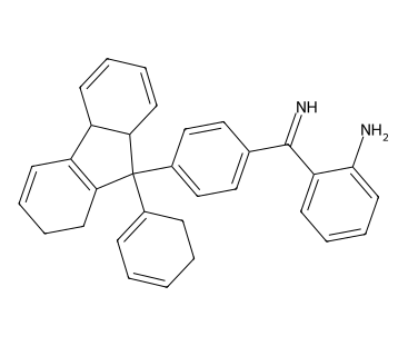 N=C(c1ccc(C2(C3=CC=CCC3)C3=C(C=CCC3)C3C=CC=CC32)cc1)c1ccccc1N